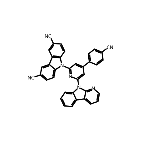 N#Cc1ccc(-c2cc(-n3c4ccc(C#N)cc4c4cc(C#N)ccc43)nc(-n3c4ccccc4c4cccnc43)c2)cc1